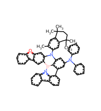 Cc1cc2c(cc1N1c3cc4oc5ccccc5c4cc3B3c4c(cc(N(c5ccccc5)c5ccccc5)cc41)-c1cccc4c5ccccc5n3c14)C(C)(C)CCC2(C)C